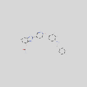 NC(=O)Oc1cccc2[nH]c(-c3ccc(Oc4ccc(NCc5ccccc5)cc4)nc3)nc12